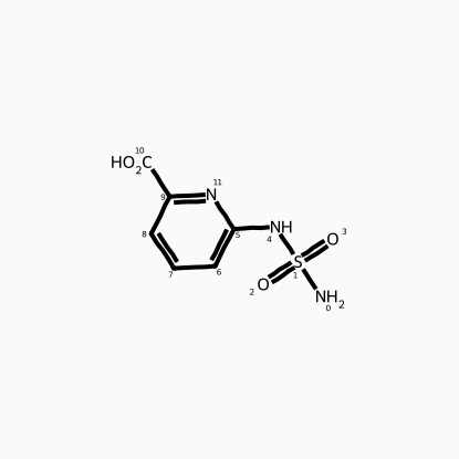 NS(=O)(=O)Nc1cccc(C(=O)O)n1